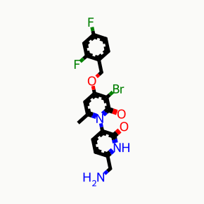 Cc1cc(OCc2ccc(F)cc2F)c(Br)c(=O)n1-c1ccc(CN)[nH]c1=O